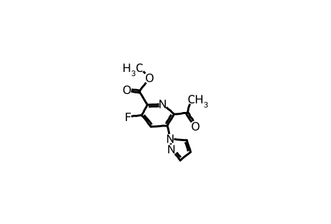 COC(=O)c1nc(C(C)=O)c(-n2cccn2)cc1F